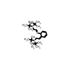 CC(C)(C)P(CC=NC1C=CC=CC1=CCP(C(C)(C)C)C(C)(C)C)C(C)(C)C